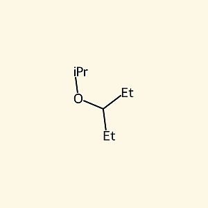 CCC(CC)OC(C)C